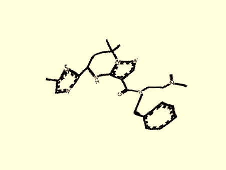 Cc1cnc(C2CC(C)(C)n3ncc(C(=O)N(CCN(C)C)Cc4ccccc4)c3N2)s1